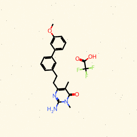 COc1cccc(-c2cccc(CCc3nc(N)n(C)c(=O)c3C)c2)c1.O=C(O)C(F)(F)F